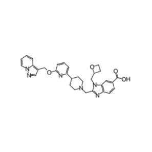 O=C(O)c1ccc2nc(CN3CCC(c4cccc(OCc5cnn6ccccc56)n4)CC3)n(CC3CCO3)c2c1